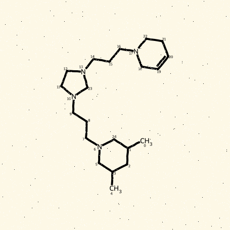 CC1CC(C)CN(CCCN2CCN(CCCN3CC=CCC3)C2)C1